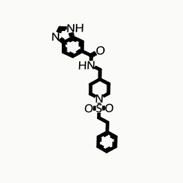 O=C(NCC1CCN(S(=O)(=O)CCc2ccccc2)CC1)c1ccc2nc[nH]c2c1